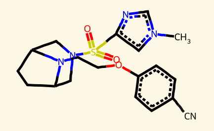 Cn1cnc(S(=O)(=O)N2CC3CCC(C2)N3CCOc2ccc(C#N)cc2)c1